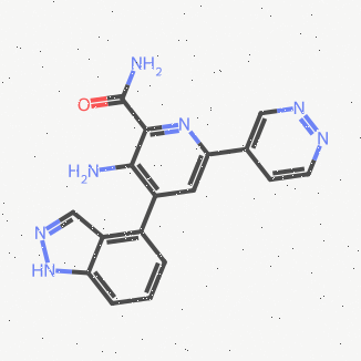 NC(=O)c1nc(-c2ccnnc2)cc(-c2cccc3[nH]ncc23)c1N